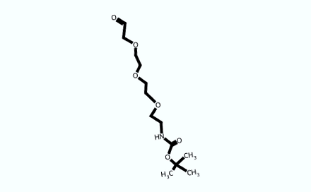 CC(C)(C)OC(=O)NCCOCCOCCOCC=O